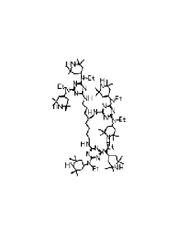 CCN(c1nc(NCCCCC(CCCNc2nc(N(CC)C3CC(C)(C)NC(C)(C)C3)nc(N(CC)C3CC(C)(C)NC(C)(C)C3)n2)CNc2nc(N(CC)C3CC(C)(C)NC(C)(C)C3)nc(N(CC)C3CC(C)(C)NC(C)(C)C3)n2)nc(N(CC)C2CC(C)(C)NC(C)(C)C2)n1)C1CC(C)(C)NC(C)(C)C1